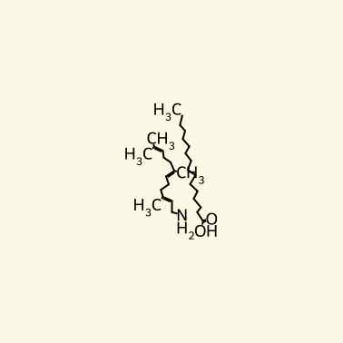 CC(C)=CCCC(C)=CCCC(C)=CCN.CCCCCCCCCCCCCCCC(=O)O